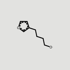 [O]CCCCc1ccoc1